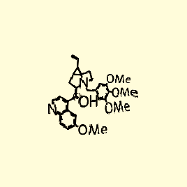 C=CC1C2CC([C@@H](O)c3ccnc4ccc(OC)cc34)[N+]3(Cc4cc(OC)c(OC)c(OC)c4)CCC123